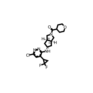 O=C(C1CCOCC1)N1C[C@H]2C[C@H](Nc3nnc(Cl)cc3C3CC3(F)F)C[C@H]2C1